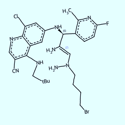 Cc1nc(F)ccc1[C@H](Nc1cc(Cl)c2ncc(C#N)c(NCC(C)(C)C)c2c1)/C(N)=C/N(N)CCCCBr